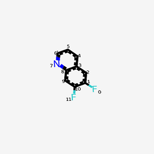 Fc1cc2cc[c]nc2cc1F